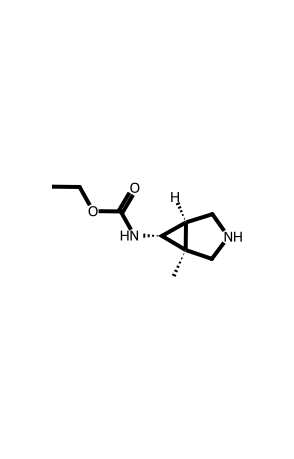 CCOC(=O)N[C@@H]1[C@H]2CNC[C@]21C